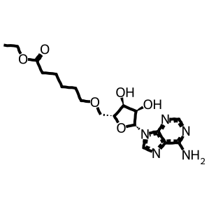 CCOC(=O)CCCCCOC[C@H]1O[C@@H](n2cnc3c(N)ncnc32)[C@H](O)[C@@H]1O